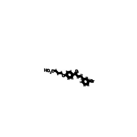 O=C(O)CCCOc1ccc(C(=O)/C=C/c2cccc(Br)c2)cc1